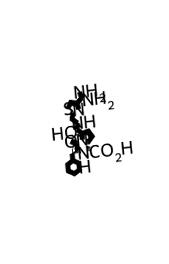 NC(N)c1csc(CNC(O)C2C=CCN2C(=O)[C@H](CC2CCCCC2)NCC(=O)O)n1